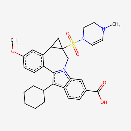 COc1ccc2c(c1)C1CC1(S(=O)(=O)N1C=CN(C)CC1)Cn1c-2c(C2CCCCC2)c2ccc(C(=O)O)cc21